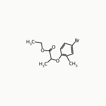 CCOC(=O)C(C)Oc1ccc(Br)cc1C